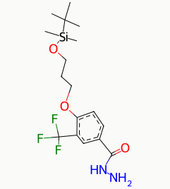 CC(C)(C)[Si](C)(C)OCCCOc1ccc(C(=O)NN)cc1C(F)(F)F